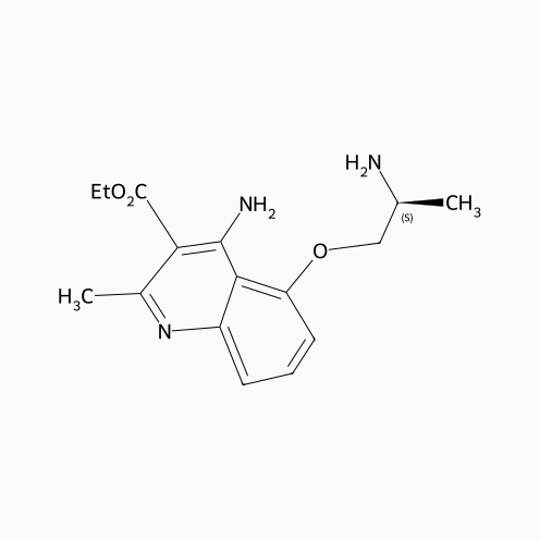 CCOC(=O)c1c(C)nc2cccc(OC[C@H](C)N)c2c1N